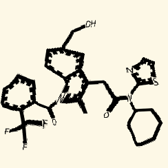 Cc1c(CC(=O)N(c2nccs2)C2CCCCC2)c2cc(CO)ccc2n1C(=O)c1ccccc1C(F)(F)F